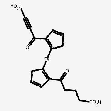 O=C(O)C#CC(=O)C1=[C]([Fe][C]2=C(C(=O)CCCC(=O)O)C=CC2)CC=C1